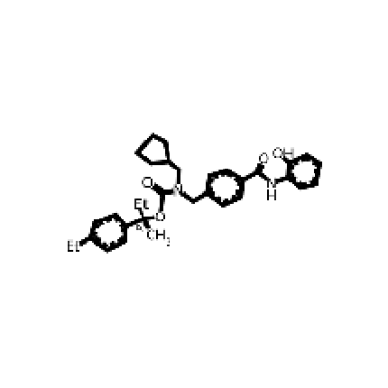 CCc1ccc([C@](C)(CC)OC(=O)N(Cc2ccc(C(=O)Nc3ccccc3O)cc2)CC2CCCC2)cc1